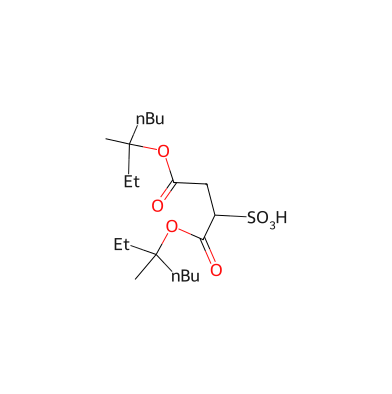 CCCCC(C)(CC)OC(=O)CC(C(=O)OC(C)(CC)CCCC)S(=O)(=O)O